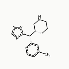 FC(F)(F)c1cccc([C@@H]([C@H]2CCCNC2)n2ncnn2)c1